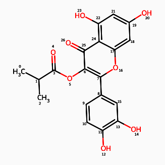 CC(C)C(=O)Oc1c(-c2ccc(O)c(O)c2)oc2cc(O)cc(O)c2c1=O